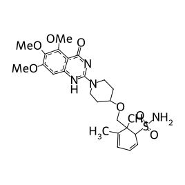 COc1cc2[nH]c(N3CCC(OCC4(C)C(C)=CC=CC4S(N)(=O)=O)CC3)nc(=O)c2c(OC)c1OC